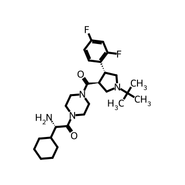 CC(C)(C)N1C[C@@H](C(=O)N2CCN(C(=O)[C@@H](N)C3CCCCC3)CC2)[C@H](c2ccc(F)cc2F)C1